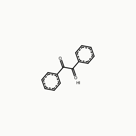 I.O=C(C(=O)c1ccccc1)c1ccccc1